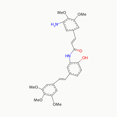 COc1cc(/C=C/C(=O)Nc2cc(C=Cc3cc(OC)c(OC)c(OC)c3)ccc2O)cc(N)c1OC